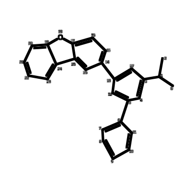 CC(C)c1cc(-c2ccccc2)cc(-c2ccc3oc4ccccc4c3c2)c1